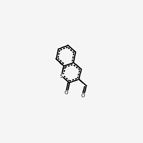 O=[C]c1cc2ccccc2sc1=O